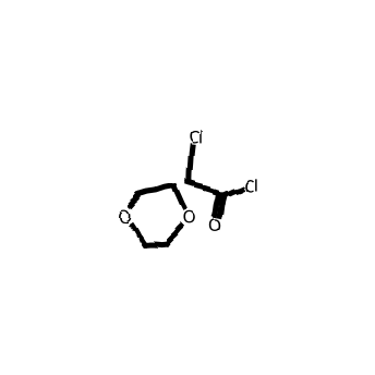 C1COCCO1.O=C(Cl)CCl